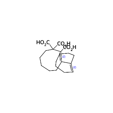 O=C(O)/C1=C(\C2=C/CCCCCC2)CCCCCC1(C(=O)O)C(=O)O